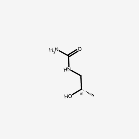 C[C@H](O)CNC(N)=O